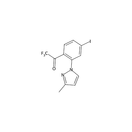 Cc1ccn(-c2cc(I)ccc2C(=O)C(F)(F)F)n1